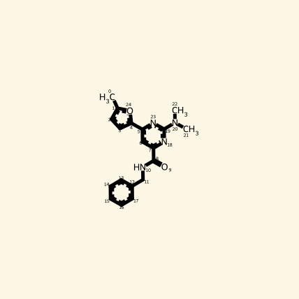 Cc1ccc(-c2cc(C(=O)NCc3ccccc3)nc(N(C)C)n2)o1